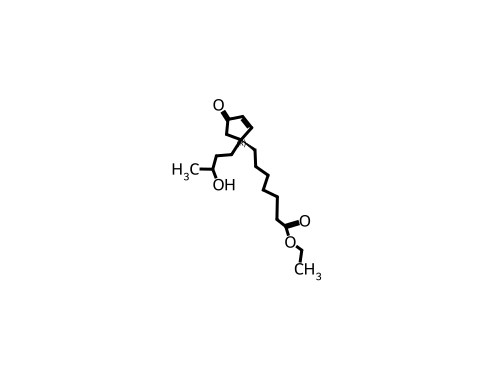 CCOC(=O)CCCCCC[C@]1(CCC(C)O)C=CC(=O)C1